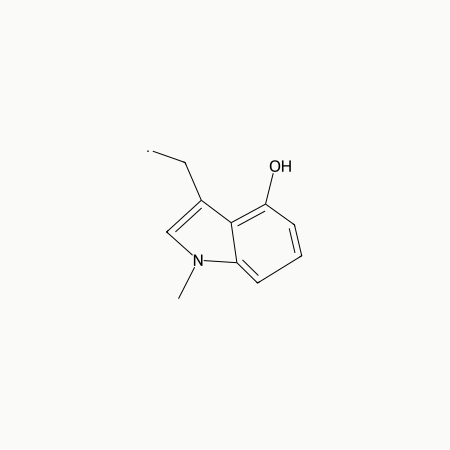 [CH2]Cc1cn(C)c2cccc(O)c12